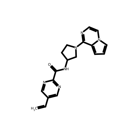 C=Cc1cnc(C(=O)NC2CCN(c3nccn4cccc34)C2)nc1